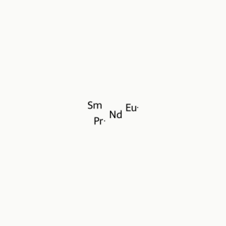 [Eu].[Nd].[Pr].[Sm]